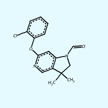 CC1(C)CN(C=O)c2cc(Oc3ccccc3Cl)ncc21